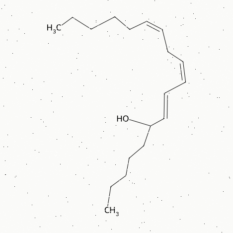 CCCCC/C=C\C/C=C\C=C\C(O)CCCCC